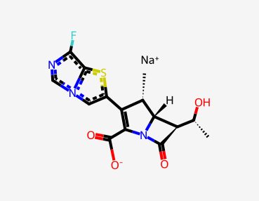 C[C@@H](O)[C@H]1C(=O)N2C(C(=O)[O-])=C(c3cn4cnc(F)c4s3)[C@H](C)[C@H]12.[Na+]